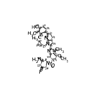 COc1cc(C(=O)N2C[C@H](N)C[C@@H](F)C2)cc2nc(-c3cc4ccc(-c5ccc(O)c(C)c5C)nc4n3CC3CC3)n(C)c12